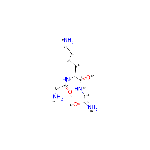 NCCCC[C@H](NC(=O)CN)C(=O)NCC(N)=O